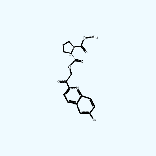 CC(C)(C)OC(=O)N1CCC[C@H]1C(=O)OCC(=O)c1ccc2cc(Br)ccc2n1